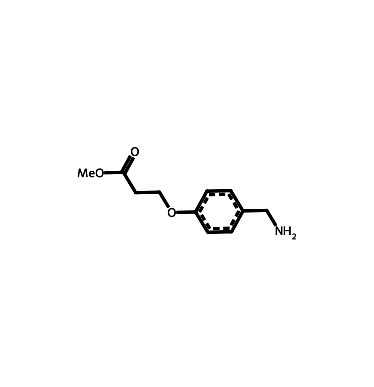 COC(=O)CCOc1ccc(CN)cc1